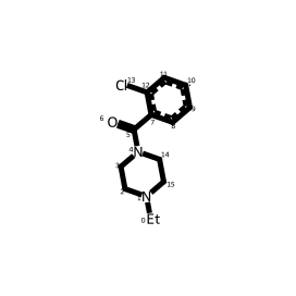 CCN1CCN(C(=O)c2cc[c]cc2Cl)CC1